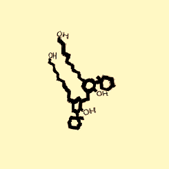 CC1(c2cc(CCCCCCCCCO)cc(Cc3cc(CCCCCCCCCO)cc(C4(C)CCCCC4)c3O)c2O)CCCCC1